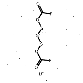 O=C(F)OS[N-]SOC(=O)F.[Li+]